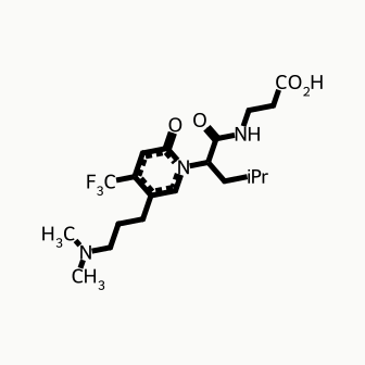 CC(C)CC(C(=O)NCCC(=O)O)n1cc(CCCN(C)C)c(C(F)(F)F)cc1=O